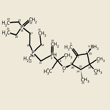 B[C@@H]1C(=C)[C@H](OC(C)(C)[PH](=C)CP(=C)(CC)CCP(=C)(CC)CC)[C@@H](C)C1(C)C